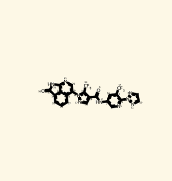 O=C(Nc1cnc(-n2nccn2)c(C(F)(F)F)c1)c1cnn(-c2cnc3c4c(cccc24)C(=O)N3)c1C(F)(F)F